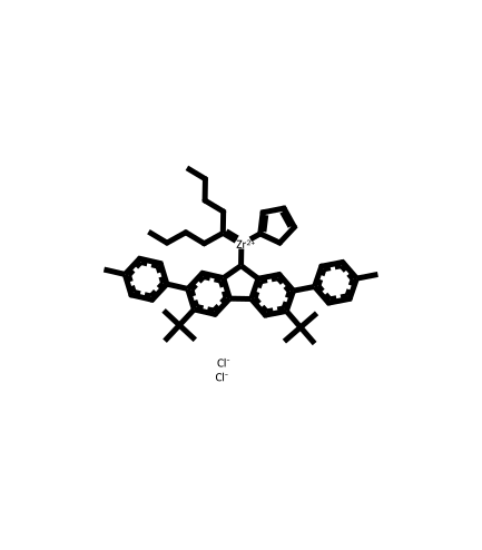 CCCC[C](CCCC)=[Zr+2]([C]1=CC=CC1)[CH]1c2cc(-c3ccc(C)cc3)c(C(C)(C)C)cc2-c2cc(C(C)(C)C)c(-c3ccc(C)cc3)cc21.[Cl-].[Cl-]